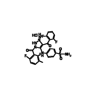 Cc1ccc(F)c(C(=O)N2NN(N)C(C(=O)c3c(F)cccc3F)=C2Nc2ccc(S(N)(=O)=O)cc2)c1F.Cl